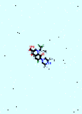 COc1c(N2C[C@@H](C)N[C@@H](C)C2)c(F)cc2c(=O)c(C(=O)O)cn(CC(F)F)c12